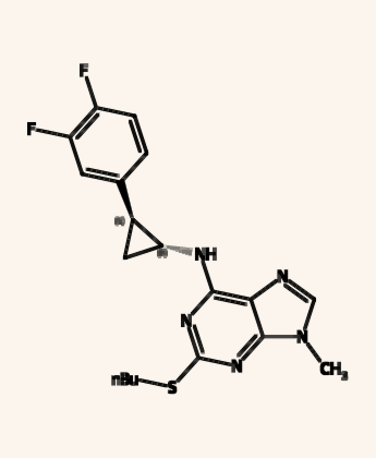 CCCCSc1nc(N[C@@H]2C[C@H]2c2ccc(F)c(F)c2)c2ncn(C)c2n1